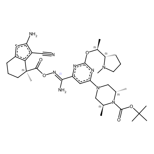 C[C@H](Oc1nc(/C(N)=N/OC(=O)[C@@]2(C)CCCc3sc(N)c(C#N)c32)cc(N2C[C@H](C)N(C(=O)OC(C)(C)C)[C@@H](C)C2)n1)[C@@H]1CCCN1C